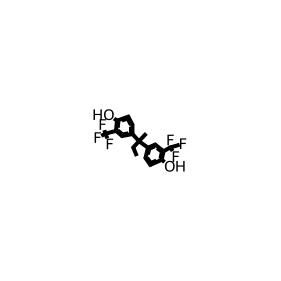 CCC(C)(c1ccc(O)c(C(F)(F)F)c1)c1ccc(O)c(C(F)(F)F)c1